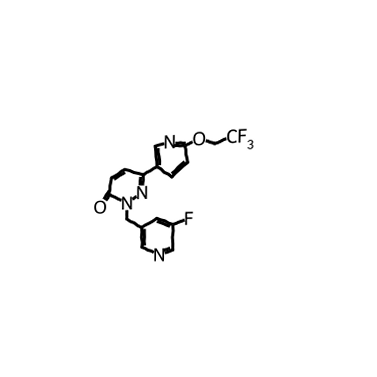 O=c1ccc(-c2ccc(OCC(F)(F)F)nc2)nn1Cc1cncc(F)c1